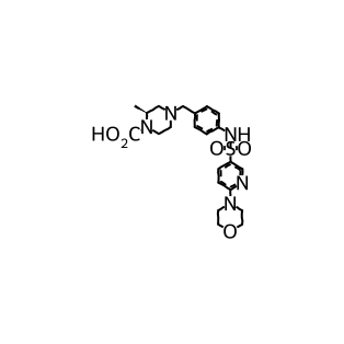 C[C@H]1CN(Cc2ccc(NS(=O)(=O)c3ccc(N4CCOCC4)nc3)cc2)CCN1C(=O)O